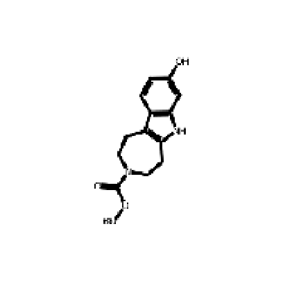 CC(C)(C)OC(=O)N1CCc2[nH]c3cc(O)ccc3c2CC1